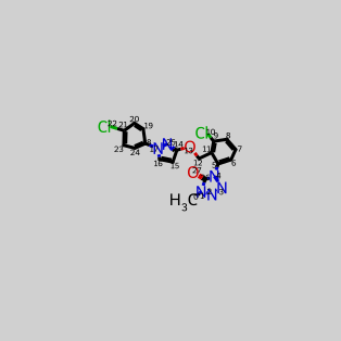 Cn1nnn(-c2cccc(Cl)c2COc2ccn(-c3ccc(Cl)cc3)n2)c1=O